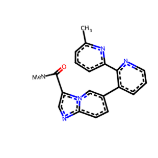 CNC(=O)c1cnc2ccc(-c3cccnc3-c3cccc(C)n3)cn12